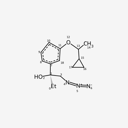 CC[C@@](O)(CN=[N+]=[N-])c1cccc(OC(C)C2CC2)c1